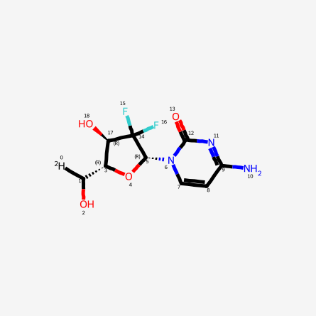 [2H]C(O)[C@H]1O[C@@H](n2ccc(N)nc2=O)C(F)(F)[C@@H]1O